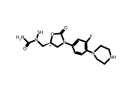 NC(=O)N(S)C[C@@H]1CN(c2ccc(N3CCNCC3)c(F)c2)C(=O)O1